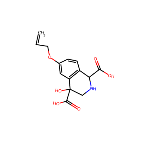 C=CCOc1ccc2c(c1)C(O)(C(=O)O)CNC2C(=O)O